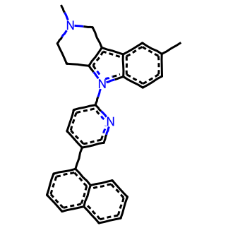 Cc1ccc2c(c1)c1c(n2-c2ccc(-c3cccc4ccccc34)cn2)CCN(C)C1